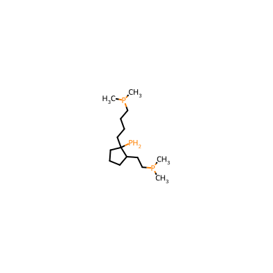 CP(C)CCCCC1(P)CCCC1CCP(C)C